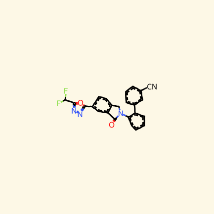 N#Cc1cccc(-c2ccccc2N2Cc3ccc(-c4nnc(C(F)F)o4)cc3C2=O)c1